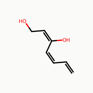 C=C/C=C\C(O)=C/CO